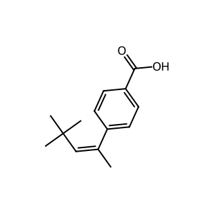 C/C(=C/C(C)(C)C)c1ccc(C(=O)O)cc1